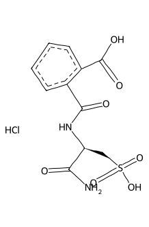 Cl.NC(=O)[C@H](CS(=O)(=O)O)NC(=O)c1ccccc1C(=O)O